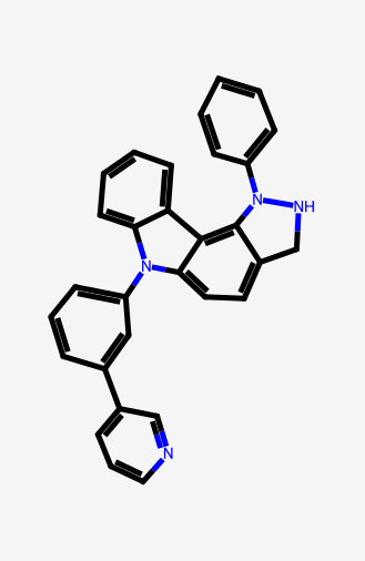 c1ccc(N2NCc3ccc4c(c32)c2ccccc2n4-c2cccc(-c3cccnc3)c2)cc1